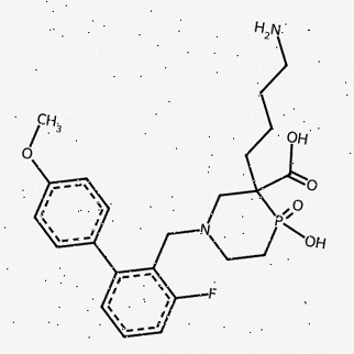 COc1ccc(-c2cccc(F)c2CN2CCP(=O)(O)C(CCCCN)(C(=O)O)C2)cc1